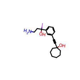 NCCC(O)(I)c1cccc(C#CC2(O)CCCCCC2)c1